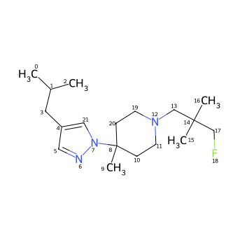 CC(C)Cc1cnn(C2(C)CCN(CC(C)(C)CF)CC2)c1